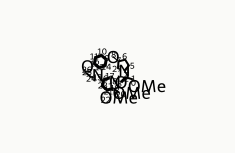 COCC(=O)N1CC[C@H](Oc2ccc3c(c2)N(c2cnc(OC)c(OC)c2)CCO3)C1